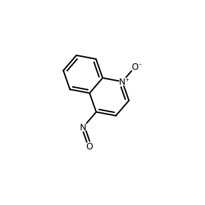 O=Nc1cc[n+]([O-])c2ccccc12